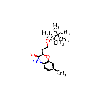 Cc1ccc2c(c1)OC(CCO[Si](C)(C)C(C)(C)C)C(=O)N2